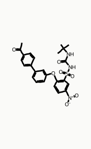 CC(=O)c1ccc(-c2cccc(Oc3ccc([N+](=O)[O-])cc3S(=O)(=O)NC(=O)NC(C)(C)C)c2)cc1